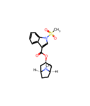 CN1[C@@H]2CC[C@H]1C[C@@H](OC(=O)c1cn(S(C)(=O)=O)c3ccccc13)C2